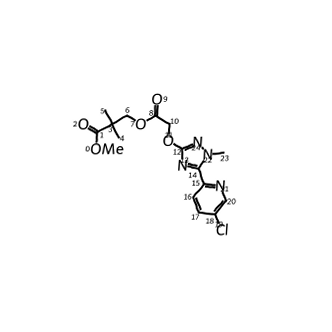 COC(=O)C(C)(C)COC(=O)COc1nc(-c2ccc(Cl)cn2)n(C)n1